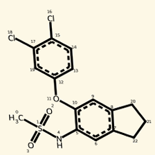 CS(=O)(=O)Nc1cc2c(cc1Oc1ccc(Cl)c(Cl)c1)CCC2